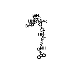 CC(=O)c1nn(CC(=O)N2[C@H](C(=O)Nc3nc(Br)ccc3C)C[C@@]3(C)C[C@@H]23)c2ccc(-c3cnc(CNC(=O)COCCOCCNC(=O)OCC4c5ccccc5-c5ccccc54)nc3)cc12